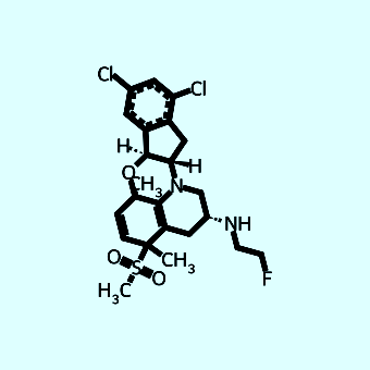 CC12C=CC(C)(S(C)(=O)=O)C3=C1N(C[C@H](NCCF)C3)[C@H]1Cc3c(Cl)cc(Cl)cc3[C@@H]1O2